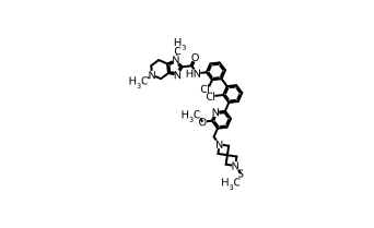 COc1nc(-c2cccc(-c3cccc(NC(=O)c4nc5c(n4C)CCN(C)C5)c3Cl)c2Cl)ccc1CN1CC2(C1)CN(SC)C2